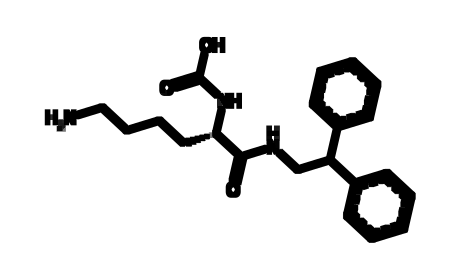 NCCCC[C@H](NC(=O)O)C(=O)NCC(c1ccccc1)c1ccccc1